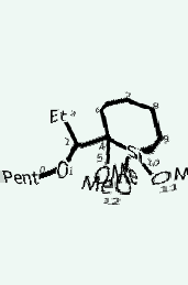 CCCCCOC(CC)C1(OC)CCCC[Si]1(OC)OC